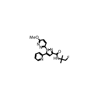 COc1ccc(-n2nc(C(=O)NC(C)(C)CF)cc2-c2ccccn2)nn1